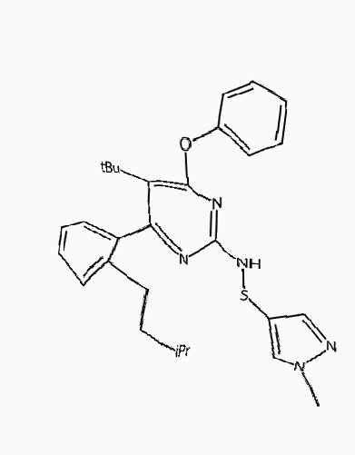 CC(C)CCc1ccccc1-c1nc(NSc2cnn(C)c2)nc(Oc2ccccc2)c1C(C)(C)C